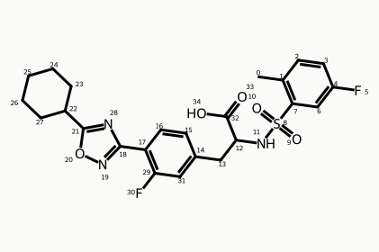 Cc1ccc(F)cc1S(=O)(=O)NC(Cc1ccc(-c2noc(C3CCCCC3)n2)c(F)c1)C(=O)O